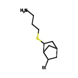 CCC1CC2CC(SCCC[SiH3])C1C2